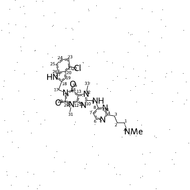 CNCCCc1nccc(Nc2nc3c(c(=O)n(Cc4cc5c(Cl)cccc5[nH]4)c(=O)n3C)n2C)n1